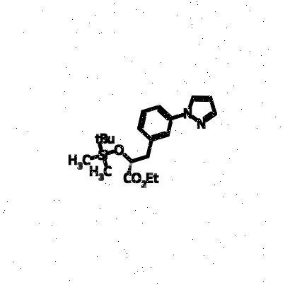 CCOC(=O)[C@@H](Cc1cccc(-n2cccn2)c1)O[Si](C)(C)C(C)(C)C